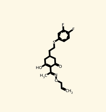 C=CCON=C(C)C1=C(O)CC(CCSc2ccc(F)c(F)c2)CC1=O